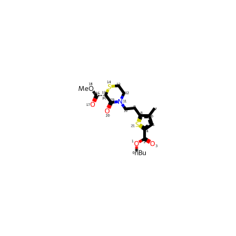 CCCCOC(=O)c1cc(C)c(CCN2CCS[C@@H](C(=O)OC)C2=O)s1